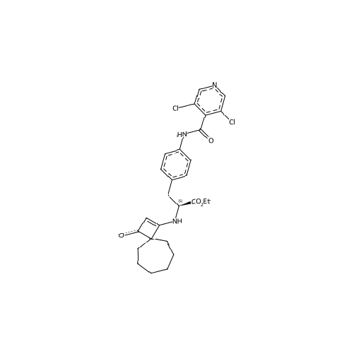 CCOC(=O)[C@H](Cc1ccc(NC(=O)c2c(Cl)cncc2Cl)cc1)NC1=CC(=O)C12CCCCCC2